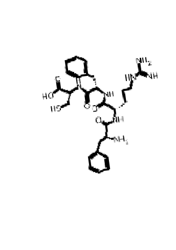 N=C(N)NCCC[C@H](NC(=O)[C@@H](N)Cc1ccccc1)C(=O)N[C@@H](Cc1ccccc1)C(=O)N[C@@H](CS)C(=O)O